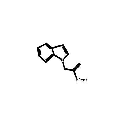 C=C(CCCCC)Cn1ccc2ccccc21